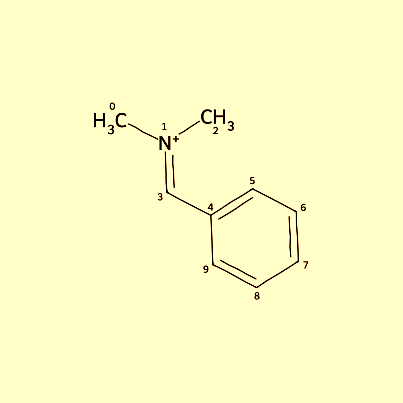 C[N+](C)=Cc1ccccc1